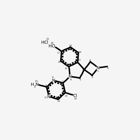 CN1CC2(C1)CN(c1nc(N)ncc1Cl)c1cc(O)ccc12.Cl